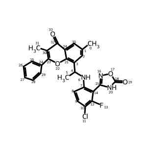 Cc1cc(C(C)Nc2ccc(Cl)c(F)c2-c2noc(=O)[nH]2)c2oc(-c3ccccc3)c(C)c(=O)c2c1